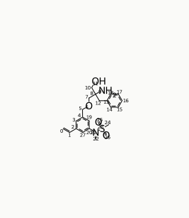 C=Cc1cc(COCC(N)(CO)Cc2ccccc2)cc(N(C)S(C)(=O)=O)c1